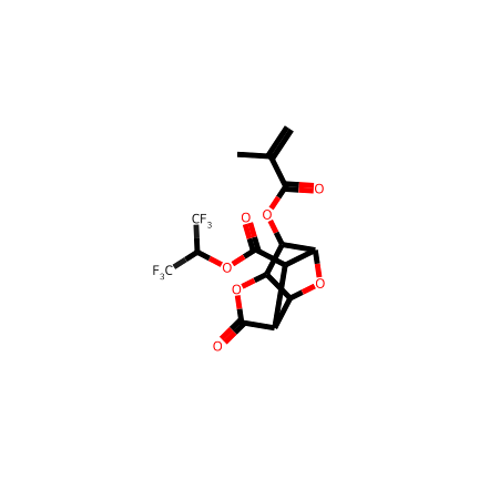 C=C(C)C(=O)OC1C2OC(=O)C3C2OC1C3C(=O)OC(C(F)(F)F)C(F)(F)F